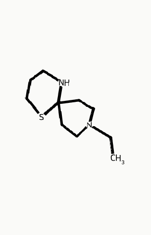 CCN1CCC2(CC1)NCCCS2